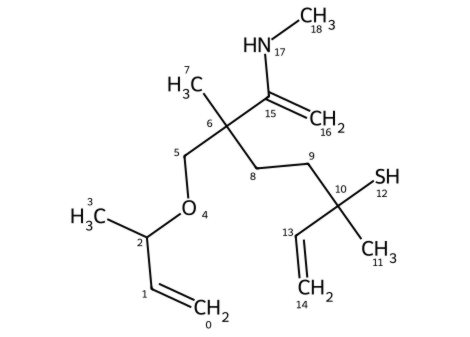 C=CC(C)OCC(C)(CCC(C)(S)C=C)C(=C)NC